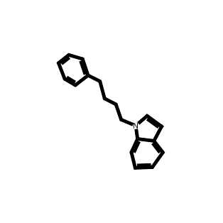 [c]1cn(CCCCc2ccccc2)c2ccccc12